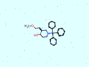 COC/C=C1/CN(C(c2ccccc2)(c2ccccc2)c2ccccc2)CCC1O